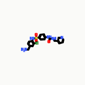 NCc1ccc(NS(=O)(=O)c2ccc(NC(=O)NCc3cccnc3)cc2)c(Cl)c1